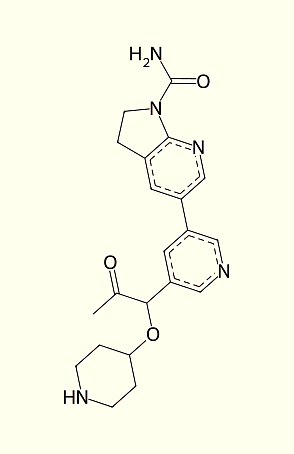 CC(=O)C(OC1CCNCC1)c1cncc(-c2cnc3c(c2)CCN3C(N)=O)c1